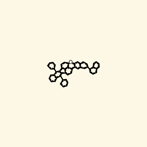 c1ccc(-c2c3ccccc3c(-c3ccccc3)c3c4ccc5c6cc7cc(-c8cccc9ccccc89)ccc7cc6oc6ccc(c23)c4c65)cc1